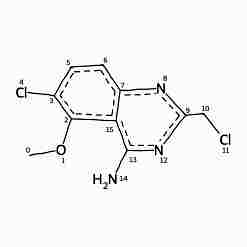 COc1c(Cl)ccc2nc(CCl)nc(N)c12